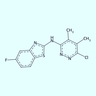 Cc1c(Cl)nnc(Nc2nc3cc(F)ccc3s2)c1C